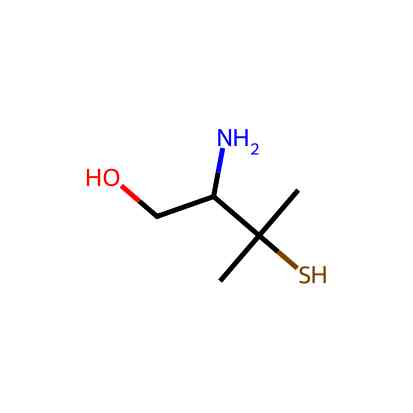 CC(C)(S)C(N)CO